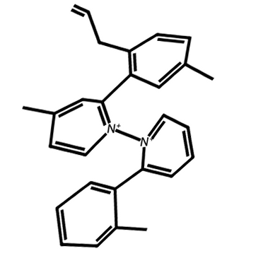 C=CCc1ccc(C)cc1-c1cc(C)cc[n+]1-[n+]1ccccc1-c1ccccc1C